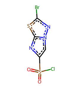 O=S(=O)(Cl)c1cn2nc(Br)sc2n1